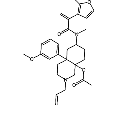 C=CCN1CCC2(c3cccc(OC)c3)CC(N(C)C(=O)C(=C)c3ccoc3C)CCC2(OC(C)=O)C1